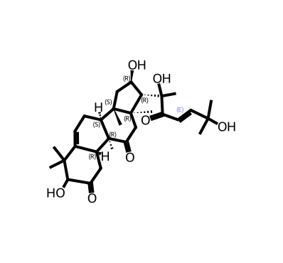 CC(C)(O)/C=C/C(=O)C(C)(O)[C@H]1[C@H](O)C[C@@]2(C)[C@@H]3CC=C4[C@@H](CC(=O)C(O)C4(C)C)[C@]3(C)C(=O)C[C@]12C